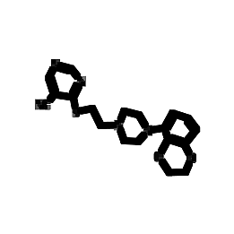 N#Cc1cncnc1SCCN1CCN(c2cccc3c2OCCO3)CC1